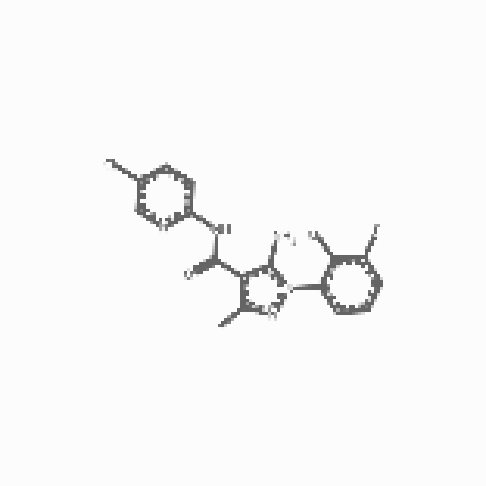 Cc1nn(-c2cccc(F)c2Cl)c(N)c1C(=O)Nc1ccc(Cl)cn1